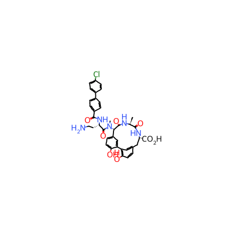 C[C@@H]1NC(=O)[C@@H](N(C)C(=O)[C@H](CCN)NC(=O)c2ccc(-c3ccc(Cl)cc3)cc2)c2ccc(O)c(c2)-c2cc(ccc2O)C[C@@H](C(=O)O)NC1=O